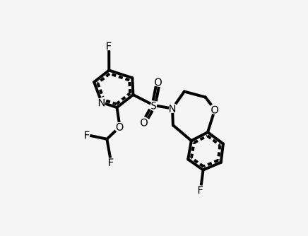 O=S(=O)(c1cc(F)cnc1OC(F)F)N1CCOc2ccc(F)cc2C1